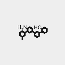 CC1C=CC=C(c2cc(-c3cccc(-c4ccccc4O)c3)ccc2N)C1